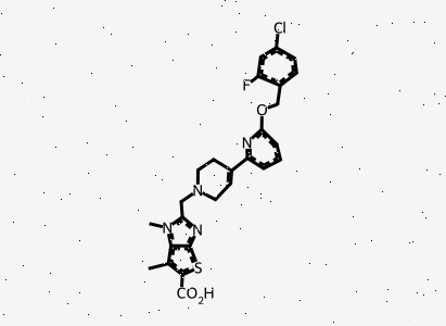 Cc1c(C(=O)O)sc2nc(CN3CC=C(c4cccc(OCc5ccc(Cl)cc5F)n4)CC3)n(C)c12